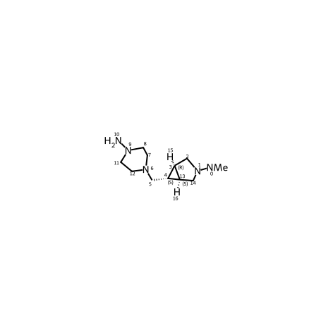 CNN1C[C@@H]2[C@@H](CN3CCN(N)CC3)[C@@H]2C1